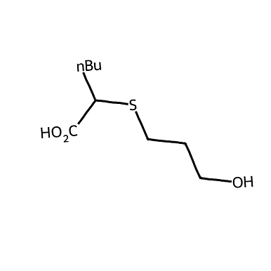 CCCCC(SCCCO)C(=O)O